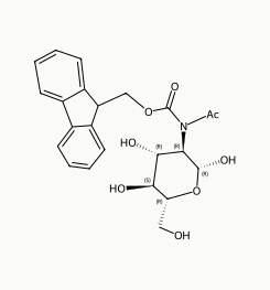 CC(=O)N(C(=O)OCC1c2ccccc2-c2ccccc21)[C@@H]1[C@@H](O)[C@H](O)[C@@H](CO)O[C@H]1O